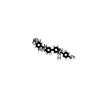 CC(C)c1ccc(-c2nc3ccc(-c4ccc5[nH]c(-c6ccc(OC(C)(C)C)cc6)nc5c4)cc3[nH]2)cc1